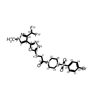 Cn1cc(-c2nnc(SCC(=O)N3CCN(S(=O)(=O)c4ccc(Br)cc4)CC3)o2)c(C(F)F)n1